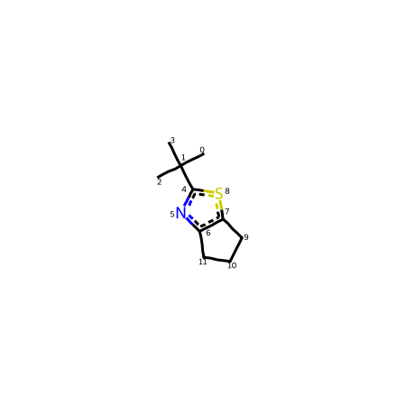 CC(C)(C)c1nc2c(s1)CCC2